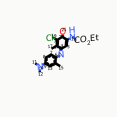 CCOC(=O)NC1=CC(=Nc2ccc(N(C)C)cc2C)C(C)=C(Cl)C1=O